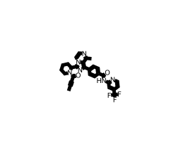 CC#CC(=O)N1CCCCC1c1nc(-c2ccc(C(=O)Nc3cc(C(F)(F)F)ccn3)cc2)c2c(C)nccn12